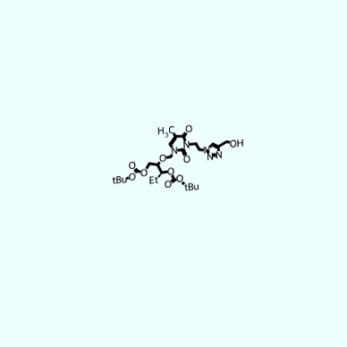 CC[C@H](OC(=O)OC(C)(C)C)C(COC(=O)OC(C)(C)C)OCn1cc(C)c(=O)n(CCn2cc(CO)nn2)c1=O